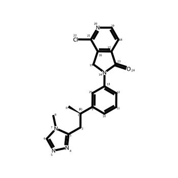 C[C@H](Cc1nncn1C)c1cccc(N2Cc3c(ccnc3Cl)C2=O)c1